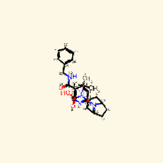 CC(C)(C)N(C(=O)O)C1CC2CCC(C1)N2c1ccc(C(=O)NCc2ccccc2)cn1